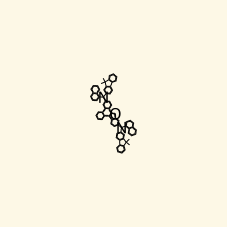 CC1(C)c2ccccc2-c2ccc(N(c3ccc4c(c3)oc3c5ccc(N(c6ccc7c(c6)C(C)(C)c6ccccc6-7)c6cccc7ccccc67)cc5c5ccccc5c43)c3cccc4ccccc34)cc21